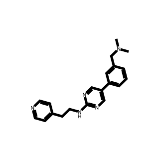 CN(C)Cc1cccc(-c2cnc(NCCc3ccncc3)nc2)c1